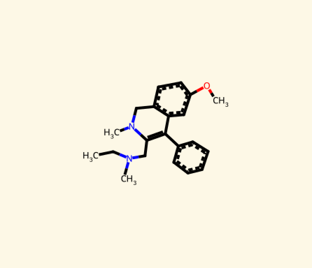 CCN(C)CC1=C(c2ccccc2)c2cc(OC)ccc2CN1C